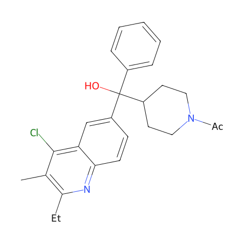 CCc1nc2ccc(C(O)(c3ccccc3)C3CCN(C(C)=O)CC3)cc2c(Cl)c1C